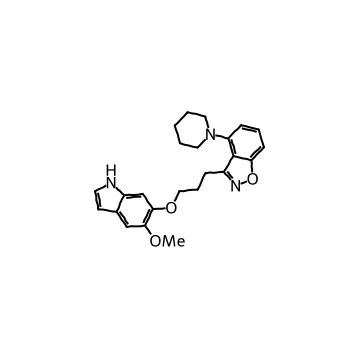 COc1cc2cc[nH]c2cc1OCCCc1noc2cccc(N3CCCCC3)c12